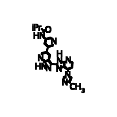 Cc1cn(-c2ccnc3[nH]c(-c4n[nH]c5ncc(-c6cncc(NC(=O)C(C)C)c6)cc45)nc23)cn1